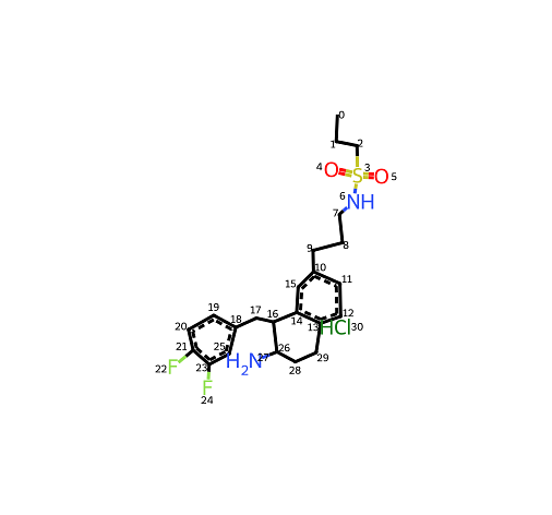 CCCS(=O)(=O)NCCCc1ccc2c(c1)C(Cc1ccc(F)c(F)c1)C(N)CC2.Cl